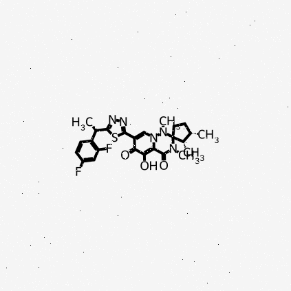 CC(c1nnc(-c2cn3c(c(O)c2=O)C(=O)N(C)C2(CC[C@H](C)[C@@H]2C)N3C)s1)c1ccc(F)cc1F